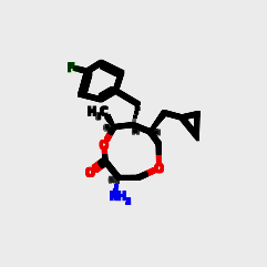 C[C@@H]1OC(=O)[C@@H](N)COC[C@H](CC2CC2)[C@H]1Cc1ccc(F)cc1